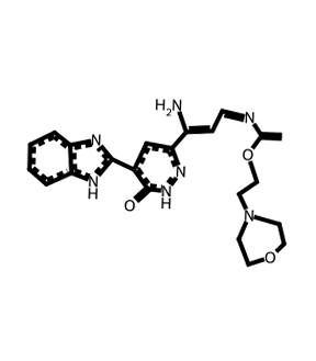 C=C(/N=C\C=C(/N)c1cc(-c2nc3ccccc3[nH]2)c(=O)[nH]n1)OCCN1CCOCC1